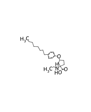 CCCCCCCCc1ccc(OC2CCC(NCC)(C(=O)O)C2)cc1